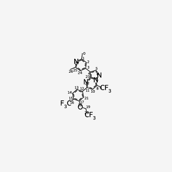 Cc1cc(-c2cnn3c(C(F)(F)F)cc(-c4ccc(C(F)(F)F)c(OCC(F)(F)F)c4)nc23)cc(C)n1